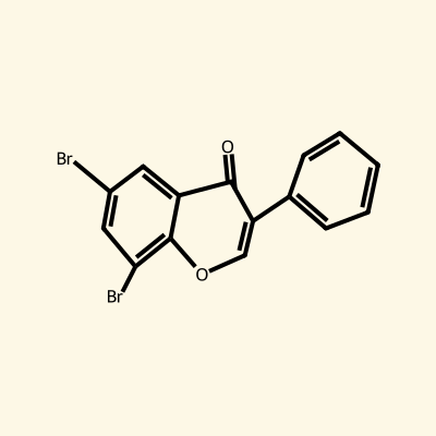 O=c1c(-c2ccccc2)coc2c(Br)cc(Br)cc12